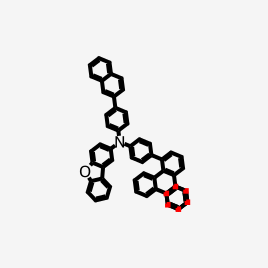 c1ccc(-c2ccccc2-c2c(-c3ccccc3)cccc2-c2ccc(N(c3ccc(-c4ccc5ccccc5c4)cc3)c3ccc4oc5ccccc5c4c3)cc2)cc1